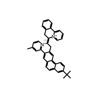 Cc1cc[n+]2c(c1)-c1cc3ccc4cc(C(C)(C)C)ccc4c3cc1C/C2=C1/Cc2ccccc2-c2cccc[n+]21